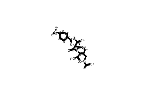 CC(=O)OCC1=C(C(=O)O)N2C(=O)[C@@](N=Cc3ccc([N+](=O)[O-])cc3)(C(=S)S)[C@H]2SC1